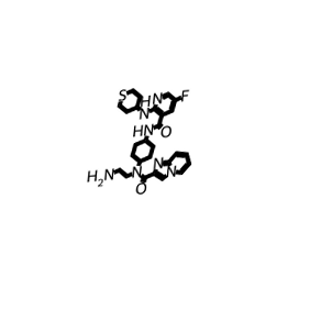 NCCN(C(=O)c1cn2ccccc2n1)C1CCC(NC(=O)c2cc(F)cnc2NC2CCSCC2)CC1